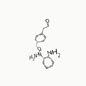 Nc1ccccc1N(N)OCc1ccc(CC=O)cc1